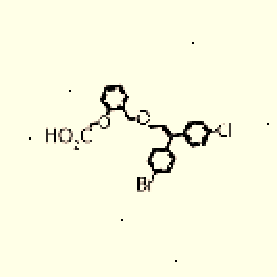 O=C(O)COc1ccccc1COCC=C(c1ccc(Cl)cc1)c1ccc(Br)cc1